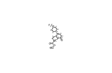 CC(C)(C)OC(=O)c1ccc2c(c1)c(=O)ccn2-c1ccc(C(F)(F)F)cc1